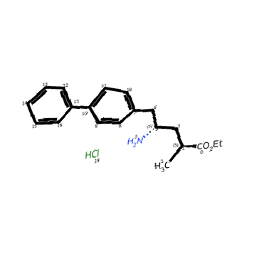 CCOC(=O)[C@@H](C)C[C@H](N)Cc1ccc(-c2ccccc2)cc1.Cl